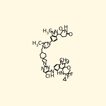 C[C@H]1CN(c2ccc3c(C4CCC(=O)NC4=O)nn(C)c3c2)CCN1CC1CCC2(CC1)CN(c1ncc(Cl)c(Nc3ccc4c(c3)c3c(c(=O)n4C)OCC(F)(F)[C@H](C4CC4)N3)n1)C2